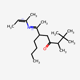 C/C=C(C)\N=C(/C)C(CCCC)CC(=O)C(C)C(C)(C)C